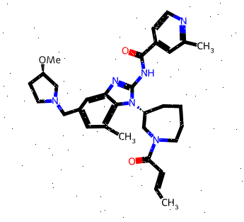 C/C=C/C(=O)N1CCCC[C@@H](n2c(NC(=O)c3ccnc(C)c3)nc3cc(CN4CC[C@@H](OC)C4)cc(C)c32)C1